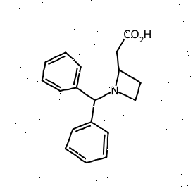 O=C(O)CC1CCN1C(c1ccccc1)c1ccccc1